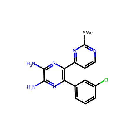 CSc1nccc(-c2nc(N)c(N)nc2-c2cccc(Cl)c2)n1